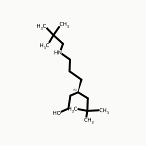 CC(C)(C)CNCCC[C@H](CCO)CC(C)(C)C